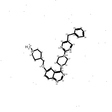 CN1CCC(COc2ccc3ncnc(N4CCN(c5ncc(Cc6ccccc6)cn5)CC4)c3c2)CC1